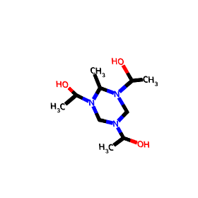 CC(O)N1CN(C(C)O)C(C)N(C(C)O)C1